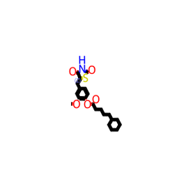 COc1cc(/C=C2\SC(=O)NC2=O)ccc1OC(=O)CCCCC1CCCCC1